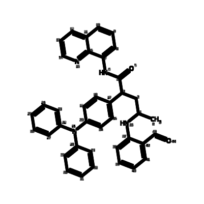 CC(CC(C(=O)Nc1cccc2cccnc12)c1ccc(N(c2ccccc2)c2ccccc2)cc1)Nc1ccccc1C=O